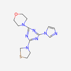 c1cn(-c2nc(N3CCOCC3)nc(N3CCSC3)n2)cn1